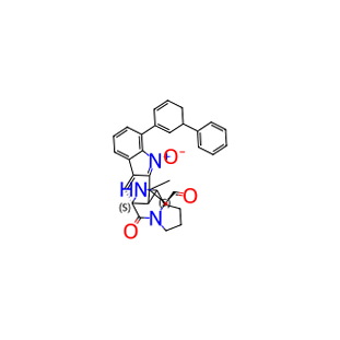 CC1(C)C2=[N+]([O-])c3c(C4=CC(c5ccccc5)CC=C4)cccc3C2=C[C@]23NC(C12)[C@]1(C=O)CCCN1C3=O